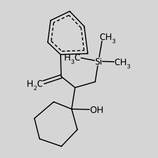 C=C(c1ccccc1)C(C[Si](C)(C)C)C1(O)CCCCC1